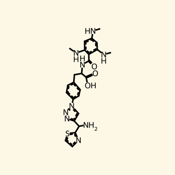 CNc1cc(NC)c(C(=O)NC(Cc2ccc(-n3cc(C(N)c4nccs4)nn3)cc2)C(=O)O)c(NC)c1